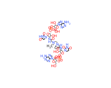 CCN(CCN(CC)CC(=O)NC1C(O)[C@@H](COP(=O)(O)O[C@@H]2[C@@H](CO)OC(n3cnc4c(N)ncnc43)[C@@H]2O)O[C@H]1n1ccc(=O)[nH]c1=O)CC(=O)NC1C(O)[C@@H](OOP(=O)(O)O[C@H]2[C@@H](O)[C@@H](n3cnc4c(N)ncnc43)O[C@@H]2CO)O[C@H]1n1ccc(=O)[nH]c1=O